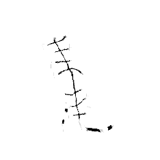 O=C=NC(F)(F)C(F)(N=C=O)C(F)(F)C(F)(F)C(F)(F)C(F)(F)C(F)(F)C(F)(F)F